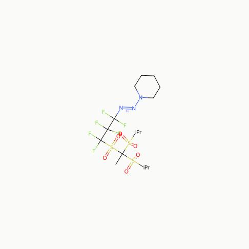 CC(C)S(=O)(=O)C(C)(S(=O)(=O)C(C)C)S(=O)(=O)C(F)(F)C(F)(F)C(F)(F)/N=N/N1CCCCC1